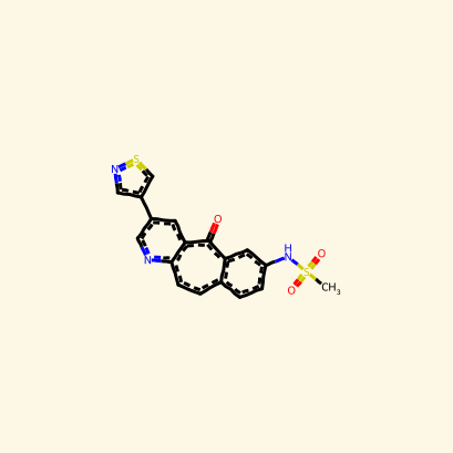 CS(=O)(=O)Nc1ccc2ccc3ncc(-c4cnsc4)cc3c(=O)c2c1